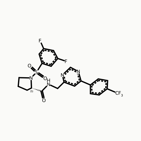 O=C(NCc1cc(-c2ccc(C(F)(F)F)cc2)ncn1)[C@@H]1CCCN1S(=O)(=O)c1cc(F)cc(F)c1